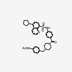 CC(=O)Nc1ccc(CN2CCN(C(=O)c3ccc(NS(=O)(=O)c4ccc(C5CCCC5)c5cccnc45)cc3)CC2)cc1